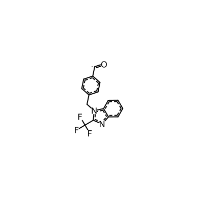 O=[C]c1ccc(Cn2c(C(F)(F)F)nc3ccccc32)cc1